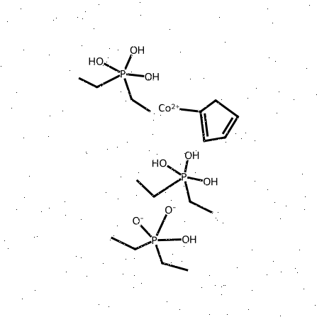 CCP(O)(O)(O)CC.CCP(O)(O)(O)CC.CCP([O-])([O-])(O)CC.[Co+2][C]1=CC=CC1